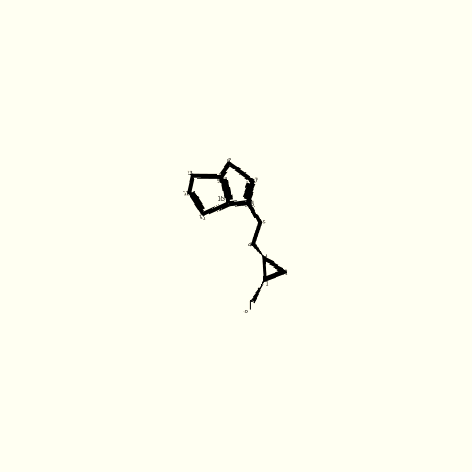 I[C@@H]1C[C@@H]1CCC1=CCC2=C1C=CC2